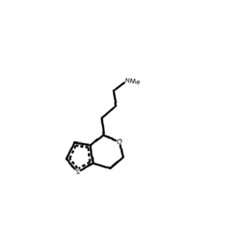 CNCCCC1OCCc2sccc21